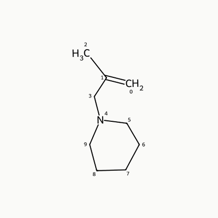 C=C(C)CN1CCCCC1